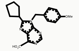 COc1ccc(Cn2c(C3CCCC3)nc3c(C(=O)O)ncnc32)cc1